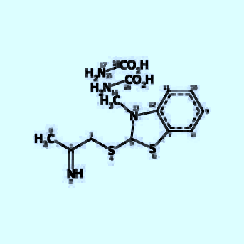 CC(=N)CSC1Sc2ccccc2N1C.NC(=O)O.NC(=O)O